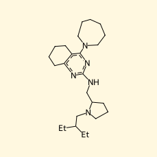 CCC(CC)CN1CCCC1CNc1nc2c(c(N3CCCCCC3)n1)CCCC2